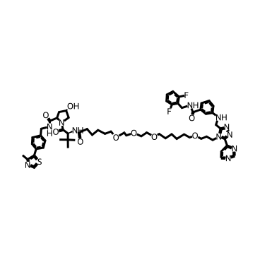 Cc1ncsc1-c1ccc(CNC(=O)C2C[C@@H](O)CN2C(=O)[C@@H](NC(=O)CCCCCOCCOCCOCCCCCCOCCCn2c(CNc3cccc(C(=O)NCc4c(F)cccc4F)c3)nnc2-c2ccncn2)C(C)(C)C)cc1